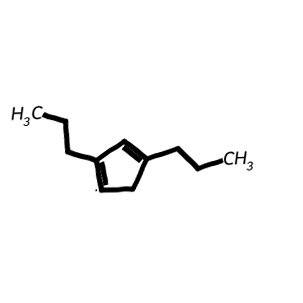 CCCC1=[C]CC(CCC)=C1